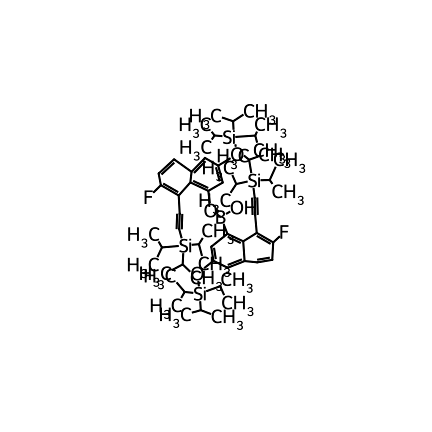 CC(C)[Si](C#Cc1c(F)ccc2cc(O[Si](C(C)C)(C(C)C)C(C)C)cc(OB(O)c3cc(O[Si](C(C)C)(C(C)C)C(C)C)cc4ccc(F)c(C#C[Si](C(C)C)(C(C)C)C(C)C)c34)c12)(C(C)C)C(C)C